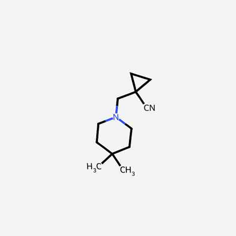 CC1(C)CCN(CC2(C#N)CC2)CC1